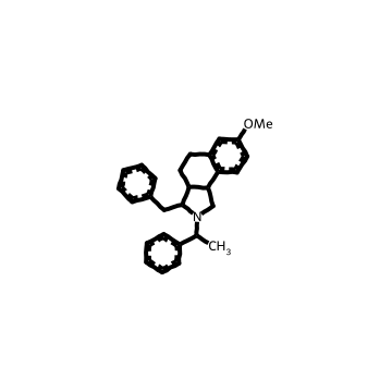 COc1ccc2c(c1)CCC1C2CN(C(C)c2ccccc2)C1Cc1ccccc1